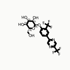 OC[C@H]1O[C@H](Oc2ccc(-c3cnc(C(F)(F)F)cn3)cc2C(F)(F)F)[C@@H](O)[C@@H](O)[C@@H]1O